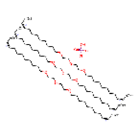 CCCCCCCC/C=C\CCCCCCCCOCCOCCOCCCCCCCC/C=C\CCCCCCCC.CCCCCCCC/C=C\CCCCCCCCOCCOCCOCCCCCCCC/C=C\CCCCCCCC.CCCCCCCC/C=C\CCCCCCCCOCCOCCOCCCCCCCC/C=C\CCCCCCCC.O=P(O)(O)O